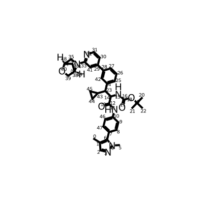 Cc1cnn(C)c1-c1ccc(NC(=O)C(NC(=O)OC(C)(C)C)C(c2cccc(-c3ccnc(N4C[C@@H]5C[C@H]4CO5)c3)c2)C2CC2)cc1